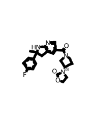 CC1(c2ccc(F)cc2)Cc2cc(C(=O)N3CC[C@H](N4CCOC4=O)C3)cnc2N1